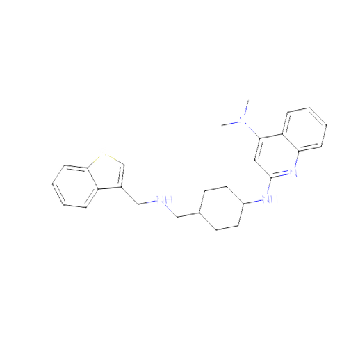 CN(C)c1cc(NC2CCC(CNCc3csc4ccccc34)CC2)nc2ccccc12